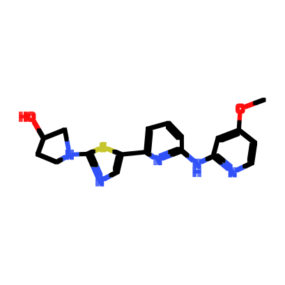 COc1ccnc(Nc2cccc(-c3cnc(N4CCC(O)C4)s3)n2)c1